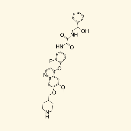 COc1cc2c(Oc3ccc(NC(=O)C(=O)NCC(O)c4ccccc4)cc3F)ccnc2cc1OCC1CCNCC1